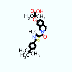 Cc1nc(-c2ccc(C(C)(C)C)cc2)sc1C(=O)N1CCc2ccc(OC(C)(C)C(=O)O)cc2C1